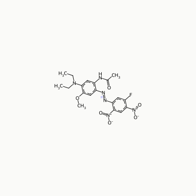 CCN(CC)c1cc(NC(C)=O)c(/N=N/c2cc(F)c([N+](=O)[O-])cc2[N+](=O)[O-])cc1OC